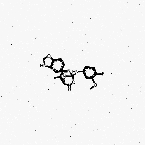 COc1cc(NC23N=CC(C)=C(NO2)N3c2ccc3c(c2)NCO3)ccc1F